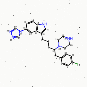 Fc1ccc(CC(CCCc2c[nH]c3ccc(-n4cnnc4)cc23)N2CCNCC2)cc1